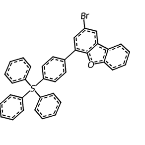 Brc1cc(-c2ccc(S(c3ccccc3)(c3ccccc3)c3ccccc3)cc2)c2oc3ccccc3c2c1